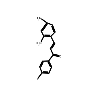 O=C(C=Cc1ccc([N+](=O)[O-])cc1[N+](=O)[O-])c1ccc(I)cc1